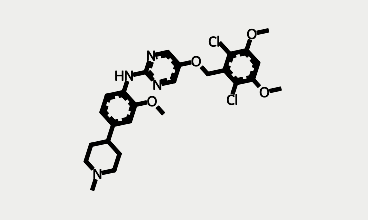 COc1cc(C2CCN(C)CC2)ccc1Nc1ncc(OCc2c(Cl)c(OC)cc(OC)c2Cl)cn1